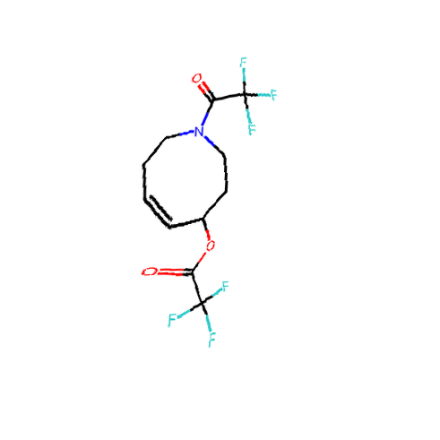 O=C(OC1/C=C\CCN(C(=O)C(F)(F)F)CC1)C(F)(F)F